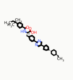 CCC(C)(C)c1ccc(C(=O)N[C@@H](Cc2ccc(-c3ncc(-c4ccc([C@H]5CC[C@H](CC)CC5)cc4)cn3)cc2)C(=O)O)cc1